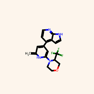 C=C1C=C(c2ccnc3[nH]ccc23)C=C(N2CCOCC2C(F)(F)F)N1